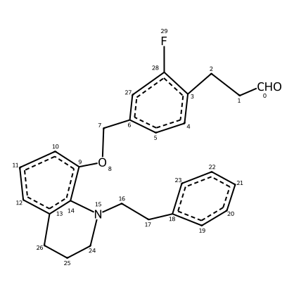 O=CCCc1ccc(COc2cccc3c2N(CCc2ccccc2)CCC3)cc1F